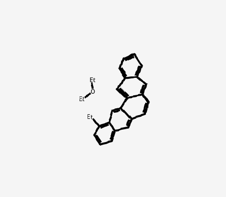 CCOCC.CCc1cccc2cc3ccc4cc5ccccc5cc4c3cc12